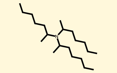 CCCCCC(C)N(C(C)CCCCC)C(C)CCCCC